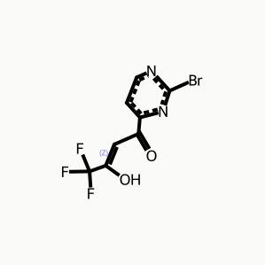 O=C(/C=C(\O)C(F)(F)F)c1ccnc(Br)n1